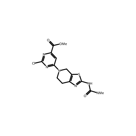 CNC(=O)Nc1nc2c(s1)CN(c1cc(C(=O)OC)nc(Cl)n1)CC2